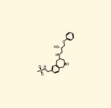 CS(=O)(=O)NCc1ccc2c(c1)CC(NC[C@H](O)COc1ccccc1)CCC2.Cl